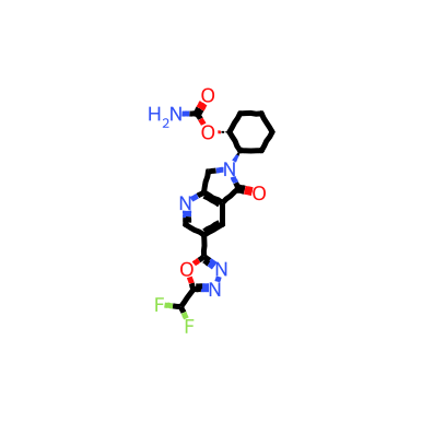 NC(=O)O[C@@H]1CCCC[C@H]1N1Cc2ncc(-c3nnc(C(F)F)o3)cc2C1=O